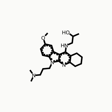 COc1ccc2c(c1)c1c(NCC(C)O)c3c(nc1n2CCCN(C)C)CCCC3